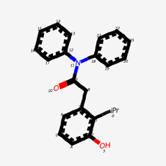 CC(C)c1c(O)cccc1CC(=O)N(c1ccccc1)c1ccccc1